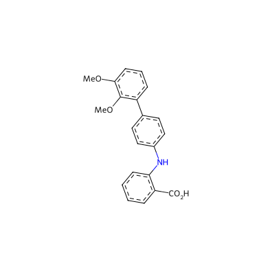 COc1cccc(-c2ccc(Nc3ccccc3C(=O)O)cc2)c1OC